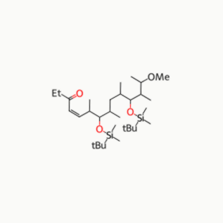 CCC(=O)/C=C\C(C)C(O[Si](C)(C)C(C)(C)C)C(C)CC(C)C(O[Si](C)(C)C(C)(C)C)C(C)C(C)OC